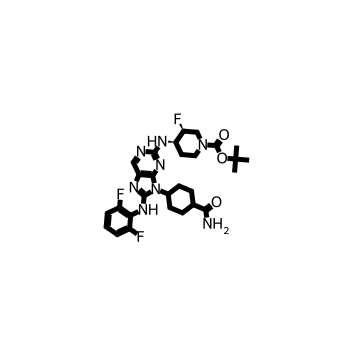 CC(C)(C)OC(=O)N1CC[C@H](Nc2ncc3nc(Nc4c(F)cccc4F)n(C4CCC(C(N)=O)CC4)c3n2)[C@H](F)C1